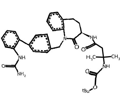 CC(C)(CC(=O)N[C@@H]1CCc2ccccc2N(Cc2ccc(-c3ccccc3NC(N)=O)cc2)C1=O)NC(=O)OC(C)(C)C